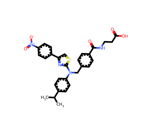 CC(C)c1ccc(N(Cc2ccc(C(=O)NCCC(=O)O)cc2)c2nc(-c3ccc([N+](=O)[O-])cc3)cs2)cc1